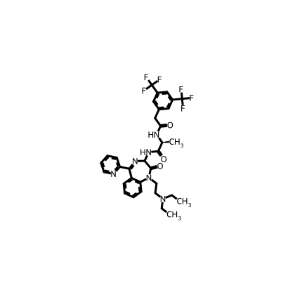 CCN(CC)CCN1C(=O)C(NC(=O)[C@H](C)NC(=O)Cc2cc(C(F)(F)F)cc(C(F)(F)F)c2)N=C(c2ccccn2)c2ccccc21